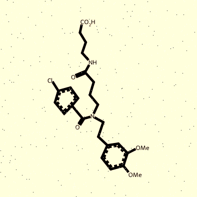 COc1ccc(CCN(CCCC(=O)NCCCC(=O)O)C(=O)c2ccc(Cl)cc2)cc1OC